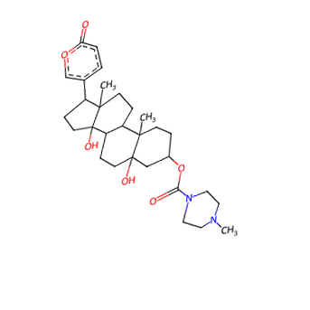 CN1CCN(C(=O)OC2CCC3(C)C4CCC5(C)C(c6ccc(=O)oc6)CCC5(O)C4CCC3(O)C2)CC1